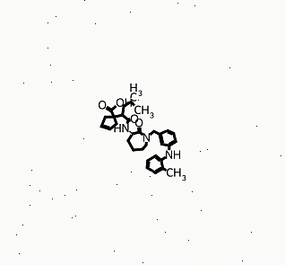 Cc1ccccc1Nc1cccc(CN2CCCC[C@H](NC(=O)C(CC(C)C)C3(C(=O)O)CC=CC3)C2=O)c1